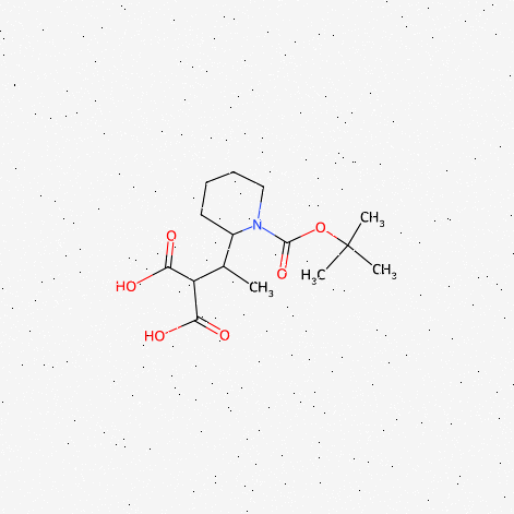 CC(C(C(=O)O)C(=O)O)C1CCCCN1C(=O)OC(C)(C)C